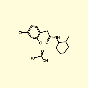 CC1CCCCC1NC(=O)Cc1ccc(Cl)cc1Cl.O=C(O)O